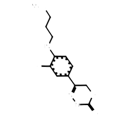 COCCCNc1ccc(C2=NNC(=O)OC2)cc1C(F)(F)F